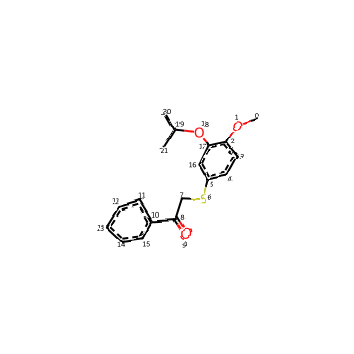 COc1ccc(SCC(=O)c2ccccc2)cc1OC(C)C